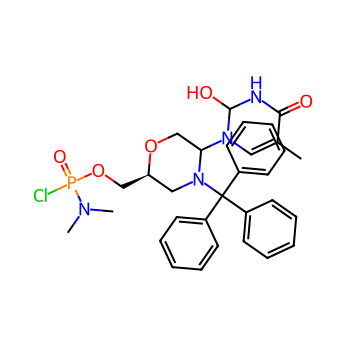 CC1=CN(C2CO[C@H](COP(=O)(Cl)N(C)C)CN2C(c2ccccc2)(c2ccccc2)c2ccccc2)C(O)NC1=O